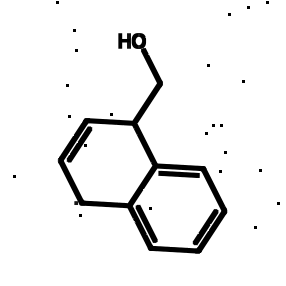 OCC1C=C[CH]c2ccccc21